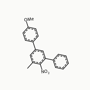 COc1ccc(-c2cc(C)c([N+](=O)[O-])c(-c3ccccc3)c2)cc1